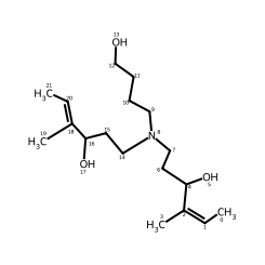 CC=C(C)C(O)CCN(CCCCO)CCC(O)C(C)=CC